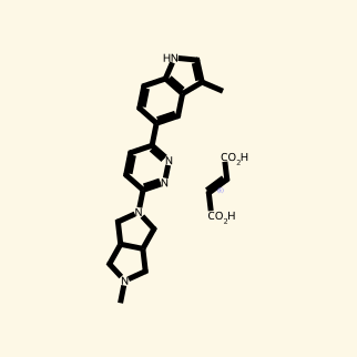 Cc1c[nH]c2ccc(-c3ccc(N4CC5CN(C)CC5C4)nn3)cc12.O=C(O)/C=C/C(=O)O